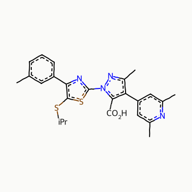 Cc1cccc(-c2nc(-n3nc(C)c(-c4cc(C)nc(C)c4)c3C(=O)O)sc2SC(C)C)c1